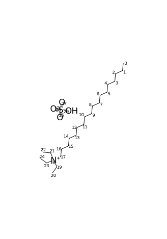 CCCCCCCCCCCCCCCCCC[N+](CC)(CC)CC.O=S(=O)([O-])O